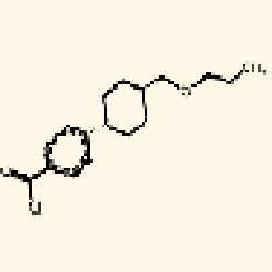 CCCOC[C@H]1CC[C@H](c2ccc(C(=O)Cl)cc2)CC1